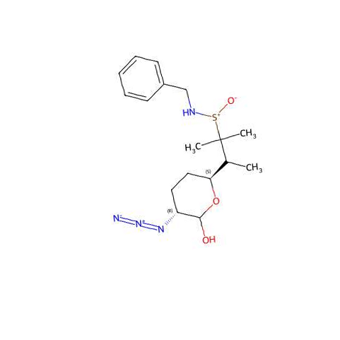 CC([C@@H]1CC[C@@H](N=[N+]=[N-])C(O)O1)C(C)(C)[S+]([O-])NCc1ccccc1